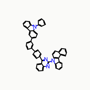 c1ccc(-n2c3ccccc3c3cc(-c4cccc(-c5ccc(-c6nc(-n7c8ccccc8c8c9ccccc9ccc87)nc7ccccc67)cc5)c4)ccc32)cc1